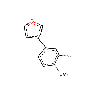 COc1ccc(-c2ccoc2)cc1C